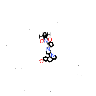 COc1ccc2c(c1)CCc1cccnc1C2=C1CCN(C[C@H]2CCCC[C@@H]2CN2C(=O)C3C(C2=O)[C@@H]2CC[C@@H]3C2)CC1